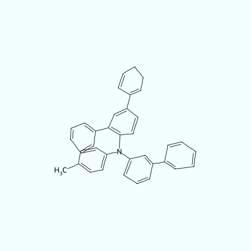 Cc1ccc(N(c2cccc(-c3ccccc3)c2)c2ccc(C3=CCCC=C3)cc2-c2ccccc2)cc1